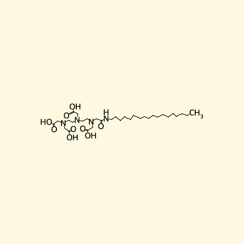 CCCCCCCCCCCCCCCCCCNC(=O)CN(CCN(CCN(CC(=O)O)CC(=O)O)CC(=O)O)CC(=O)O